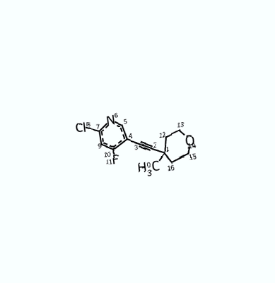 CC1(C#Cc2cnc(Cl)cc2F)CCOCC1